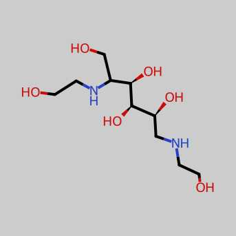 OCCNC[C@H](O)[C@@H](O)[C@H](O)C(CO)NCCO